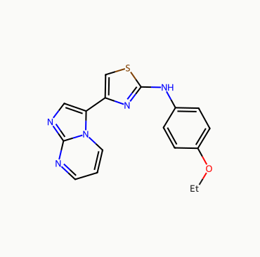 CCOc1ccc(Nc2nc(-c3cnc4ncccn34)cs2)cc1